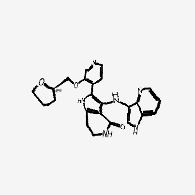 O=C1NCCc2[nH]c(-c3ccncc3OC[C@H]3CCCO3)c(Nc3c[nH]c4cccnc34)c21